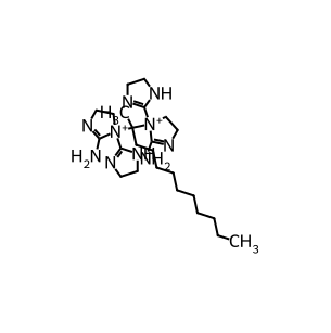 CCCCCCCCCCC(C)([N+]1(C2=NCCN2)CCN=C1N)[N+]1(C2=NCCN2)CCN=C1N